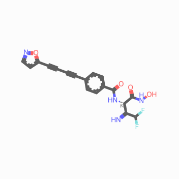 N=C(C(F)F)[C@H](NC(=O)c1ccc(C#CC#Cc2ccno2)cc1)C(=O)NO